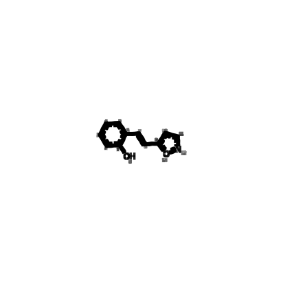 Oc1ccccc1/C=C/c1ccno1